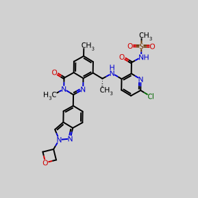 Cc1cc([C@@H](C)Nc2ccc(Cl)nc2C(=O)NS(C)(=O)=O)c2nc(-c3ccc4nn(C5COC5)cc4c3)n(C)c(=O)c2c1